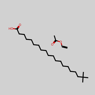 C=COC(C)=O.CC(C)(C)CCCCCCCCCCCCCCCCCC(=O)O